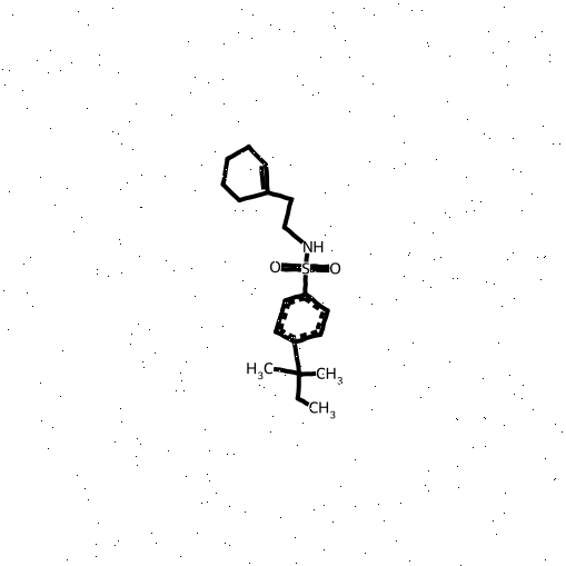 CCC(C)(C)c1ccc(S(=O)(=O)NCCC2=CCCCC2)cc1